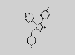 Cc1ccc(-c2[nH]nc(SC3CCNCC3)c2-c2ccncn2)cc1